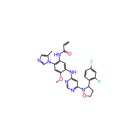 C=CC(=O)Nc1cc(Nc2cc(N3OCCC3c3ccc(F)cc3F)ncn2)c(OC)cc1-n1cncc1C